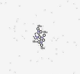 C=C/C=C\C(=C)N1/C=C/C=C\C2=CB(c3cc4c(cc31)B1c3c(cccc3-n3c5ccc(C(C)(C)C)cc5c5cc(C(C)(C)C)cc1c53)N4c1ccccc1)c1cc(C(C)(C)C)cc3c4cc(C(C)(C)C)ccc4n2c13